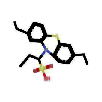 CCc1ccc2c(c1)Sc1ccc(CC)cc1N2C(CC)S(=O)(=O)O